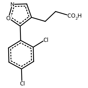 O=C(O)CCc1cnoc1-c1ccc(Cl)cc1Cl